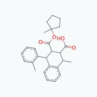 Cc1ccccc1C1c2ccccc2C(C)C(C(=O)O)C1C(=O)OC1(C)CCCC1